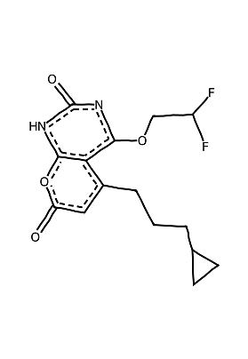 O=c1nc(OCC(F)F)c2c(CCCC3CC3)cc(=O)oc2[nH]1